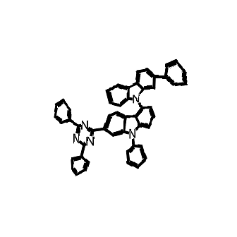 c1ccc(-c2ccc3c4ccccc4n(-c4cccc5c4c4ccc(-c6nc(-c7ccccc7)nc(-c7ccccc7)n6)cc4n5-c4ccccc4)c3c2)cc1